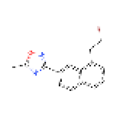 Cc1nc(-c2ccc3cccc(CCBr)c3c2)no1